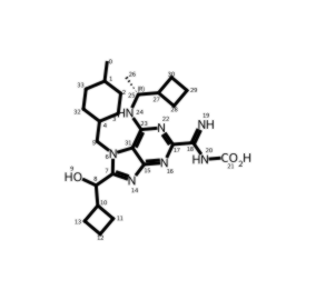 CC1CCC(Cn2c(C(O)C3CCC3)nc3nc(C(=N)NC(=O)O)nc(N[C@H](C)C4CCC4)c32)CC1